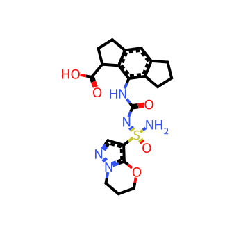 NS(=O)(=NC(=O)Nc1c2c(cc3c1C(C(=O)O)CC3)CCC2)c1cnn2c1OCCC2